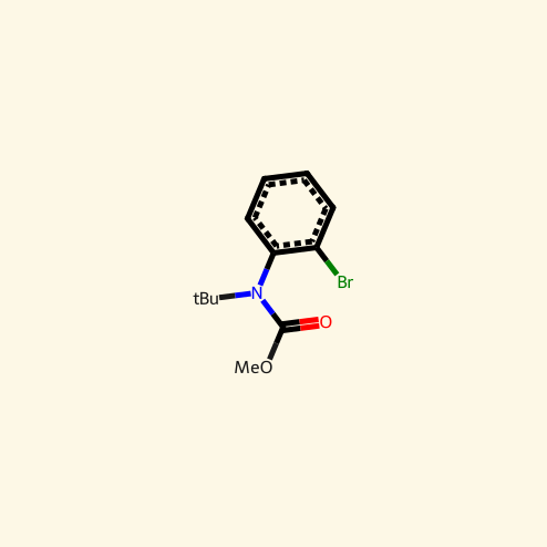 COC(=O)N(c1ccccc1Br)C(C)(C)C